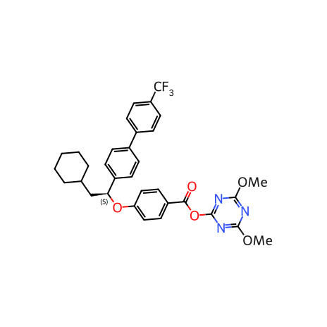 COc1nc(OC)nc(OC(=O)c2ccc(O[C@@H](CC3CCCCC3)c3ccc(-c4ccc(C(F)(F)F)cc4)cc3)cc2)n1